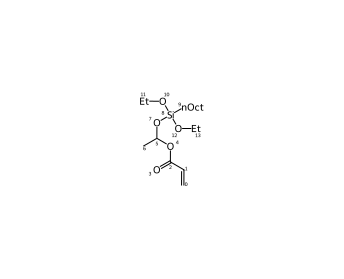 C=CC(=O)OC(C)O[Si](CCCCCCCC)(OCC)OCC